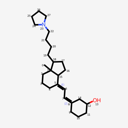 CC12CCC/C(=C\C=C3\CCCC(O)C3)C1CCC2CCCCN1CCCC1